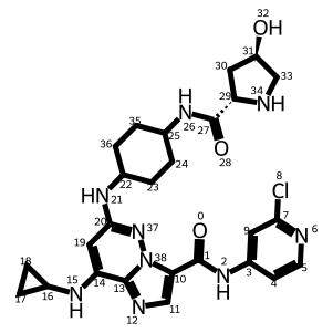 O=C(Nc1ccnc(Cl)c1)c1cnc2c(NC3CC3)cc(NC3CCC(NC(=O)[C@@H]4C[C@@H](O)CN4)CC3)nn12